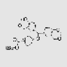 CC(C)(C)OC(=O)N1CCC(OC(c2ccc3c(c2)COCO3)c2ccc3c(c2)COCO3)CC1